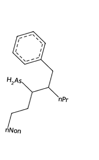 CCCCCCCCCCCC([AsH2])C(CCC)Cc1ccccc1